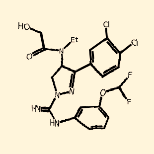 CCN(C(=O)CO)C1CN(C(=N)Nc2cccc(OC(F)F)c2)N=C1c1ccc(Cl)c(Cl)c1